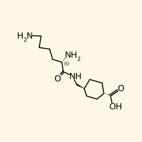 NCCCC[C@H](N)C(=O)NC[C@H]1CC[C@H](C(=O)O)CC1